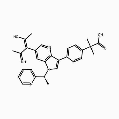 CC(=N)/C(=C(/C)O)c1cnc2c(-c3ccc(C(C)(C)C(=O)O)cc3)cn([C@@H](C)c3ccccn3)c2c1